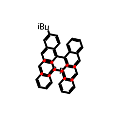 CCC(C)c1ccc2c(-c3c(P(c4ccccc4)c4ccccc4)ccc4ccccc34)c(P(c3ccccc3)c3ccccc3)ccc2c1